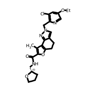 CCOc1cnc(Cn2cc3c(n2)-c2c(oc(C(=O)NC[C@@H]4CCCO4)c2C)CC3)c(Cl)c1